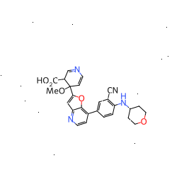 COC1(c2cc3nccc(-c4ccc(NC5CCOCC5)c(C#N)c4)c3o2)C=CN=CC1C(=O)O